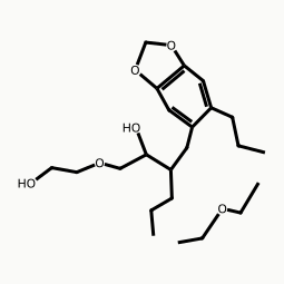 CCCc1cc2c(cc1CC(CCC)C(O)COCCO)OCO2.CCOCC